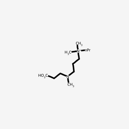 CCC[N+](C)(C)CCCN(C)CCC(=O)O